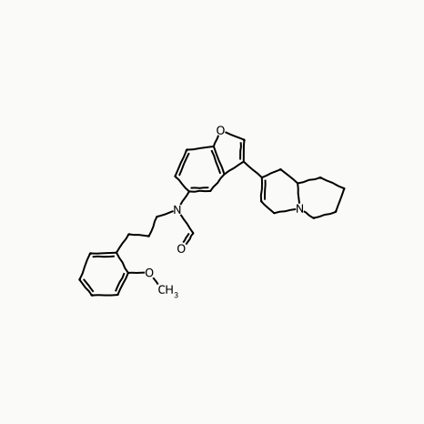 COc1ccccc1CCCN(C=O)c1ccc2occ(C3=CCN4CCCCC4C3)c2c1